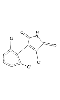 O=C1NC(=O)C(c2c(Cl)cccc2Cl)=C1Cl